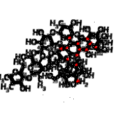 CC1C(O)[C@H](OC2OC(CO[C@]3(C(=O)O)C[C@@H](O)[C@@H](N)C(C(O)C(O)CO)O3)[C@H](O)[C@H](O)C2O)[C@H](CO)O[C@H]1O[C@@H]1C(O)[C@H](O)C(CO)O[C@@H]1OCC1O[C@@H](O[C@@H]2C(CO)O[C@@H](O[C@@H]3C(CO)O[C@@H](C)[C@@H](C)C3O)[C@@H](C)C2O)[C@H](O)C(O[C@H]2O[C@H](CO)[C@@H](O)C(O)C2O[C@@H]2OC(CO)[C@@H](O[C@@H]3OC(CO)C(O)(O)C(O)[C@@H]3O)C(O)[C@@H]2C)[C@@H]1O